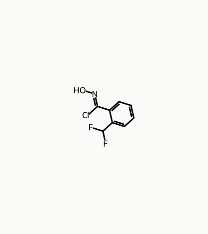 ON=C(Cl)c1ccccc1C(F)F